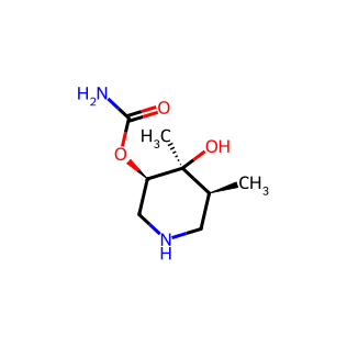 C[C@H]1CNC[C@@H](OC(N)=O)[C@@]1(C)O